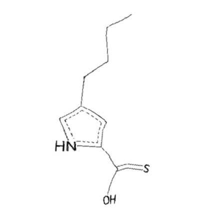 CCCCc1c[nH]c(C(O)=S)c1